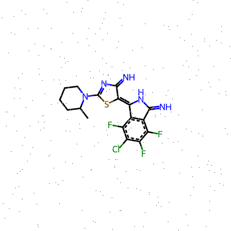 CC1CCCCN1C1=NC(=N)/C(=C2\NC(=N)c3c(F)c(F)c(Cl)c(F)c32)S1